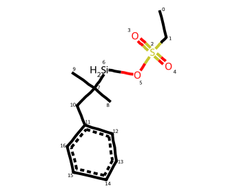 CCS(=O)(=O)O[SiH2]C(C)(C)Cc1ccccc1